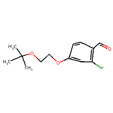 CC(C)(C)OCCOc1ccc(C=O)c(Br)c1